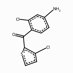 Nc1ccc(C(=O)c2sccc2Cl)c(Cl)c1